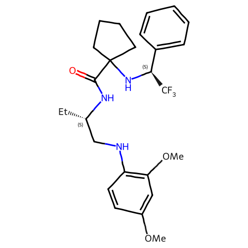 CC[C@@H](CNc1ccc(OC)cc1OC)NC(=O)C1(N[C@@H](c2ccccc2)C(F)(F)F)CCCC1